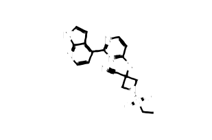 CCS(=O)(=O)N1CC(C#N)(Nc2ccnc(-c3ccnc4[nH]ccc34)n2)C1